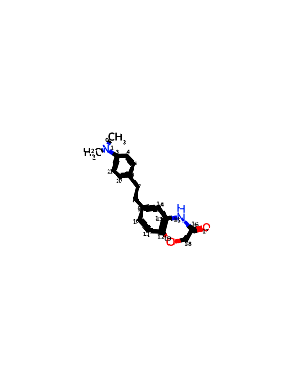 CN(C)c1ccc(CCc2ccc3c(c2)NC(=O)CO3)cc1